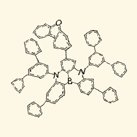 c1ccc(-c2cc(-c3ccccc3)cc(N3c4cc(-c5ccccc5)ccc4B4c5ccc(-c6ccccc6)cc5N(c5cc(-c6ccccc6)cc(-c6ccccc6)c5)c5cc(-c6ccc7oc8ccccc8c7c6)cc3c54)c2)cc1